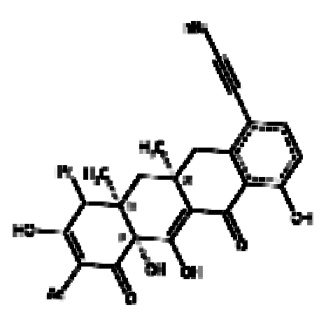 CCCCC#Cc1ccc(O)c2c1C[C@]1(C)C[C@]3(C)C(C(C)C)C(O)=C(C(C)=O)C(=O)[C@]3(O)C(O)=C1C2=O